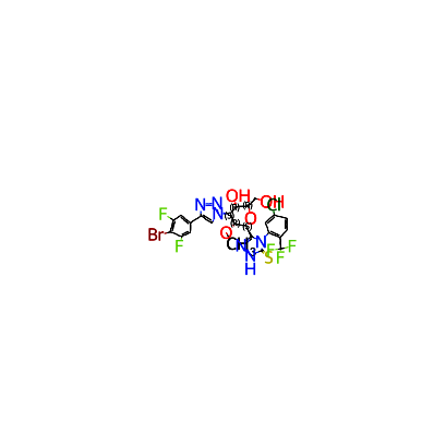 CO[C@@H]1[C@@H](n2cc(-c3cc(F)c(Br)c(F)c3)nn2)[C@@H](O)[C@@H](CO)O[C@H]1c1n[nH]c(=S)n1-c1cc(Cl)ccc1C(F)(F)F